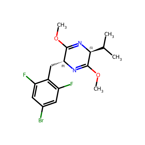 COC1=N[C@H](Cc2c(F)cc(Br)cc2F)C(OC)=N[C@H]1C(C)C